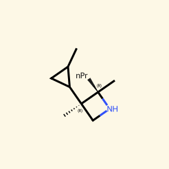 CCC[C@@]1(C)NC[C@@]1(C)C1CC1C